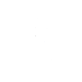 CCc1cccc(Cl)c1/C=C1\C(=O)C2CCC1C2